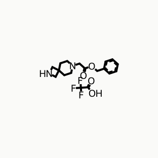 O=C(CN1CCC2(CC1)CNC2)OCc1ccccc1.O=C(O)C(F)(F)F